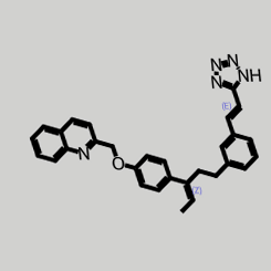 C/C=C(/CCc1cccc(/C=C/c2nnn[nH]2)c1)c1ccc(OCc2ccc3ccccc3n2)cc1